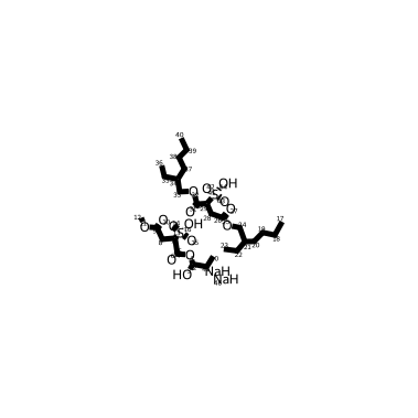 CCC(O)OC(=O)C(CC(=O)OC)S(=O)(=O)O.CCCCC(CC)COC(=O)CC(C(=O)OCC(CC)CCCC)S(=O)(=O)O.[NaH].[NaH]